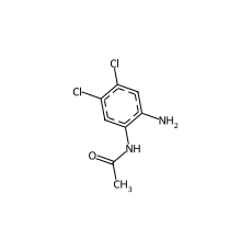 CC(=O)Nc1cc(Cl)c(Cl)cc1N